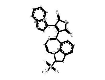 NS(=O)(=O)C1Cc2cccc3c2N1C=CN=C3C1=C(c2cnc3ccccn23)C(=O)NC1=O